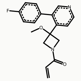 C=CC(=O)N1CC(OC)(c2ccncc2-c2ccc(F)cc2)C1